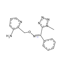 Cn1nnnc1/C(=N\OCc1ncccc1N)c1ccccc1